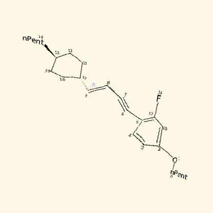 CCCCCOc1ccc(C#C/C=C/[C@H]2CC[C@H](CCCCC)CC2)c(F)c1